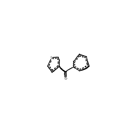 O=C(c1[c]csc1)c1ccccc1